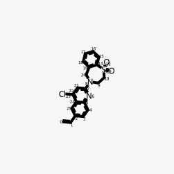 C=Cc1ccc2nc(N3CCS(=O)(=O)c4ccccc4C3)cc(Cl)c2c1